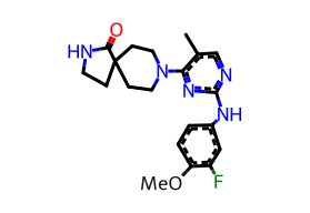 COc1ccc(Nc2ncc(C)c(N3CCC4(CCNC4=O)CC3)n2)cc1F